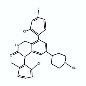 CC(C)(C)N1CCC(c2cc(-c3ccc(F)cc3Cl)c3c(c2)N(c2c(Cl)cccc2Cl)C(=O)NC3)CC1